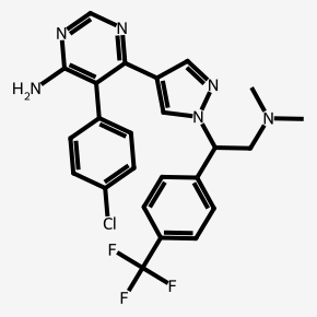 CN(C)CC(c1ccc(C(F)(F)F)cc1)n1cc(-c2ncnc(N)c2-c2ccc(Cl)cc2)cn1